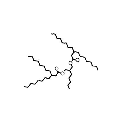 CCCCCCCCC(CCCCCCCC)CC(=O)OCC(CCCCC)COC(=O)CC(CCCCCCCC)CCCCCCCC